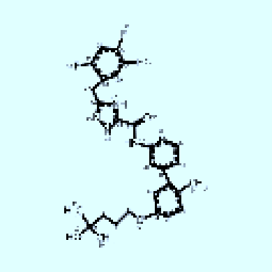 Cc1ccc(OCCCC(C)(C)O)cc1-c1ccnc(NC(=O)c2nnc(Cc3cc(F)c(F)cc3F)[nH]2)c1